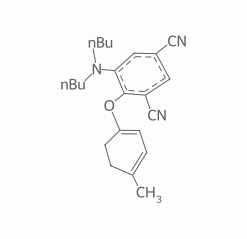 CCCCN(CCCC)c1cc(C#N)cc(C#N)c1OC1=CC=C(C)CC1